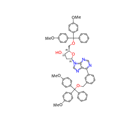 COc1ccc(C(OCc2cccc(-c3ncnc4c3ncn4[C@H]3C[C@H](O)[C@@H](COC(c4ccccc4)(c4ccc(OC)cc4)c4ccc(OC)cc4)O3)c2)(c2ccccc2)c2ccc(OC)cc2)cc1